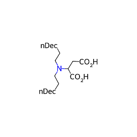 CCCCCCCCCCCCN(CCCCCCCCCCCC)C(CC(=O)O)C(=O)O